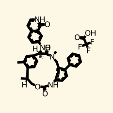 Cc1cc2ccc1[C@@H](C)COC(=O)Nc1ccc(-c3ccccc3)c(c1)CN(C)C(=O)[C@@H]2Nc1ccc2cc[nH]c(=O)c2c1.O=C(O)C(F)(F)F